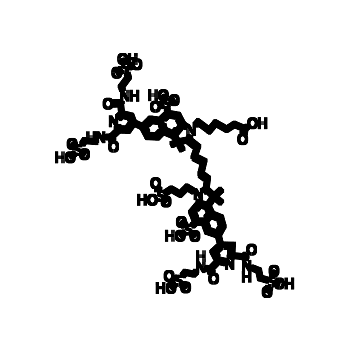 CC1(C)C(/C=C/C=C/C=C2/N(CCCCCC(=O)O)c3cc(S(=O)(=O)O)c4cc(-c5cc(C(=O)NCCS(=O)(=O)O)nc(C(=O)NCCS(=O)(=O)O)c5)ccc4c3C2(C)C)=[N+](CCCS(=O)(=O)O)c2cc(S(=O)(=O)O)c3cc(-c4cc(C(=O)NCCS(=O)(=O)O)nc(C(=O)NCCS(=O)(=O)O)c4)ccc3c21